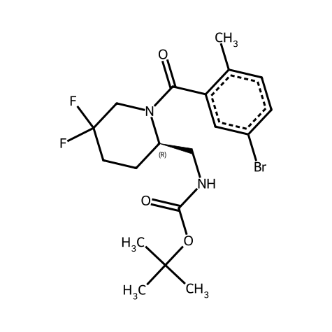 Cc1ccc(Br)cc1C(=O)N1CC(F)(F)CC[C@@H]1CNC(=O)OC(C)(C)C